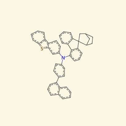 c1ccc2c(c1)-c1c(N(c3ccc(-c4cccc5ccccc45)cc3)c3ccc4c(c3)sc3ccccc34)cccc1C21CC2CCC1C2